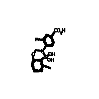 Cc1cccc2c1S(O)(O)N(c1ccc(C(=O)O)cc1F)CO2